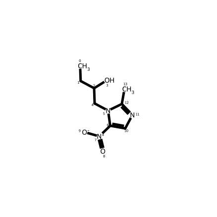 CCC(O)Cn1c([N+](=O)[O-])cnc1C